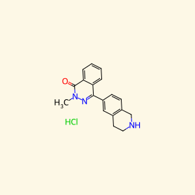 Cl.Cn1nc(-c2ccc3c(c2)CCNC3)c2ccccc2c1=O